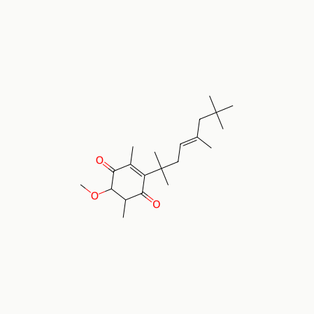 COC1C(=O)C(C)=C(C(C)(C)C/C=C(\C)CC(C)(C)C)C(=O)C1C